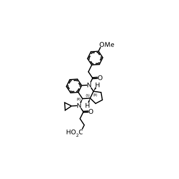 COc1ccc(CC(=O)N2c3ccccc3[C@H](N(C(=O)CCC(=O)O)C3CC3)[C@H]3CCC[C@H]32)cc1